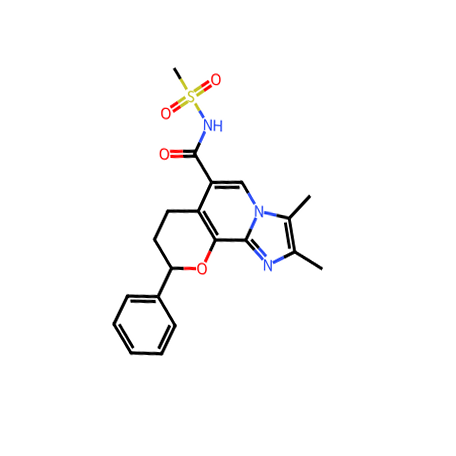 Cc1nc2c3c(c(C(=O)NS(C)(=O)=O)cn2c1C)CCC(c1ccccc1)O3